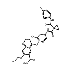 CNC(=O)c1cc2c(Oc3ncc(NC(=O)C4(C(=O)Nc5ccc(F)cc5)CC4)cc3Cl)ccnc2cc1OCC(C)=O